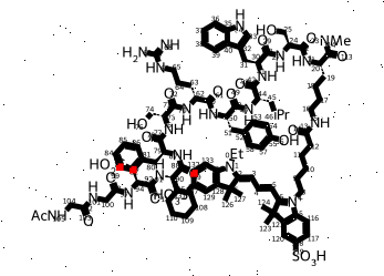 CCN1/C(=C/C=C/C2=[N+](CCCCCC(=O)NCCCC[C@H](NC(=O)[C@H](CO)NC(=O)[C@H](Cc3c[nH]c4ccccc34)NC(=O)[C@H](CC(C)C)NC(=O)[C@H](Cc3ccc(O)cc3)NC(=O)[C@@H](CCCNC(=N)N)NC(=O)[C@@H](CO)NC(=O)[C@H](Cc3ccccc3)NC(=O)[C@@H](NC(=O)[C@H](CC(=O)O)NC(=O)CNC(=O)CNC(C)=O)C3CCCCC3)C(=O)NC)c3ccc(S(=O)(=O)O)cc3C2(C)C)C(C)(C)c2cc(S(=O)(=O)O)ccc21